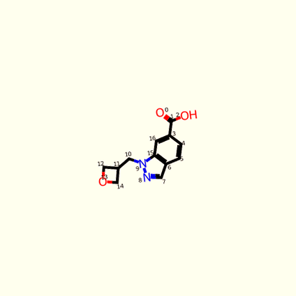 O=C(O)c1ccc2cnn(CC3COC3)c2c1